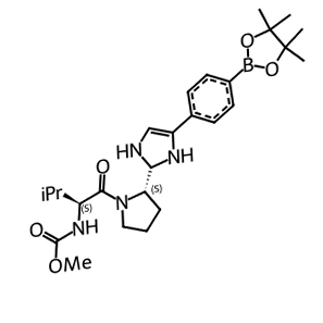 COC(=O)N[C@H](C(=O)N1CCC[C@H]1C1NC=C(c2ccc(B3OC(C)(C)C(C)(C)O3)cc2)N1)C(C)C